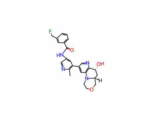 Cc1ncc(NC(=O)c2cccc(CF)c2)cc1-c1cnc2c(c1)N1CCOC[C@H]1C[C@H]2O